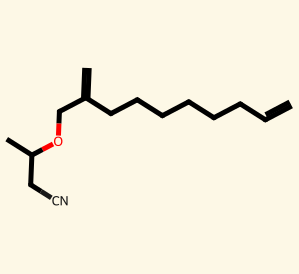 C=CCCCCCCC(=C)COC(C)CC#N